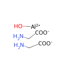 NCC(=O)[O-].NCC(=O)[O-].[OH][Al+2]